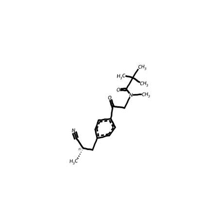 C[C@H](C#N)Cc1ccc(C(=O)CN(C)C(=O)C(C)(C)C)cc1